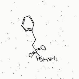 NNS(=O)(=O)CCc1ccccc1